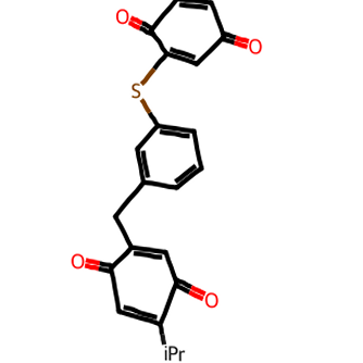 CC(C)C1=CC(=O)C(Cc2cccc(SC3=CC(=O)C=CC3=O)c2)=CC1=O